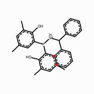 Cc1cc(C)c(O)c(P([SiH2]C(c2ccccc2)c2ccccc2)c2cc(C)cc(C)c2O)c1